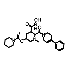 CN1CC(OC(=O)N2CCCCC2)CC(C(=O)NO)C1C(=O)N1CC=C(c2ccccc2)CC1